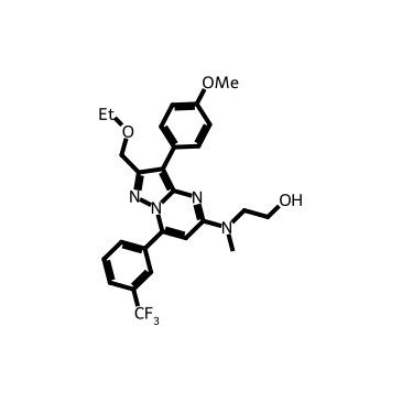 CCOCc1nn2c(-c3cccc(C(F)(F)F)c3)cc(N(C)CCO)nc2c1-c1ccc(OC)cc1